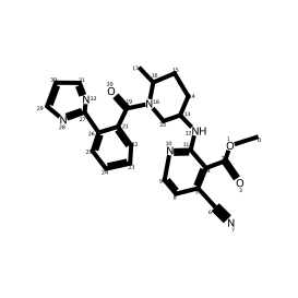 COC(=O)c1c(C#N)ccnc1NC1CCC(C)N(C(=O)c2ccccc2-c2ncccn2)C1